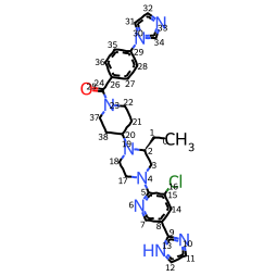 CC[C@H]1CN(c2ncc(-c3ncc[nH]3)cc2Cl)CCN1C1CCN(C(=O)c2ccc(-n3ccnc3)cc2)CC1